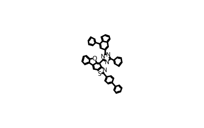 c1ccc(-c2ccc(-c3nc4c(-c5nc(-c6ccccc6)nc(-c6cc(-c7ccccc7)c7ccccc7c6)n5)c5oc6ccccc6c5cc4s3)cc2)cc1